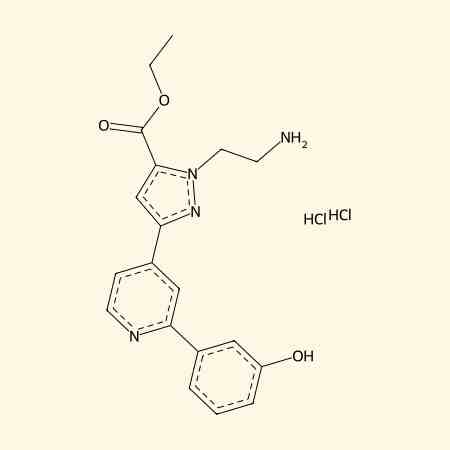 CCOC(=O)c1cc(-c2ccnc(-c3cccc(O)c3)c2)nn1CCN.Cl.Cl